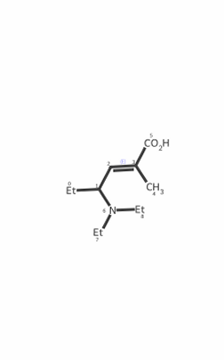 CCC(/C=C(\C)C(=O)O)N(CC)CC